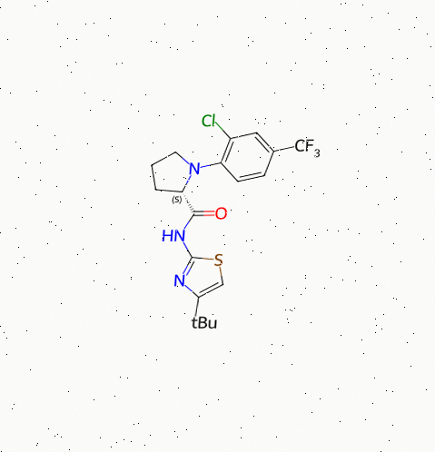 CC(C)(C)c1csc(NC(=O)[C@@H]2CCCN2c2ccc(C(F)(F)F)cc2Cl)n1